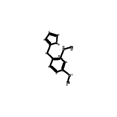 CCOc1ccc(Cc2cccs2)c(OCC)c1